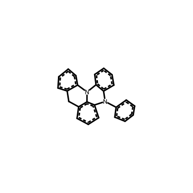 c1ccc(N2c3ccccc3N3c4ccccc4Cc4cccc2c43)cc1